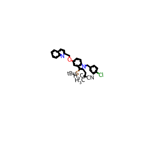 CC(C)(C#N)Cc1c(SC(C)(C)C)c2cc(OCc3ccc4ccccc4n3)ccc2n1Cc1ccc(Cl)cc1